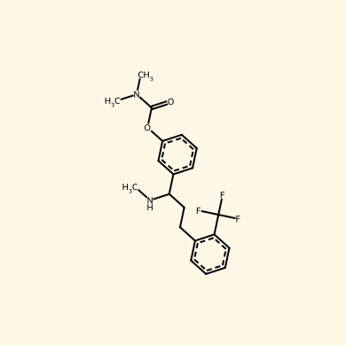 CNC(CCc1ccccc1C(F)(F)F)c1cccc(OC(=O)N(C)C)c1